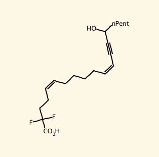 CCCCCC(O)C#C/C=C\CCCC/C=C\CCC(F)(F)C(=O)O